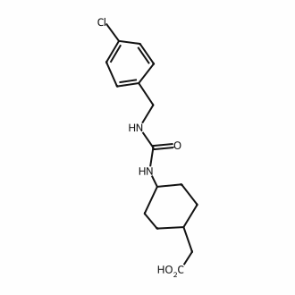 O=C(O)CC1CCC(NC(=O)NCc2ccc(Cl)cc2)CC1